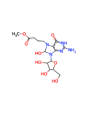 COC(=O)CCCN1c2c(nc(N)[nH]c2=O)N(C2OC(CO)C(O)C2O)C1O